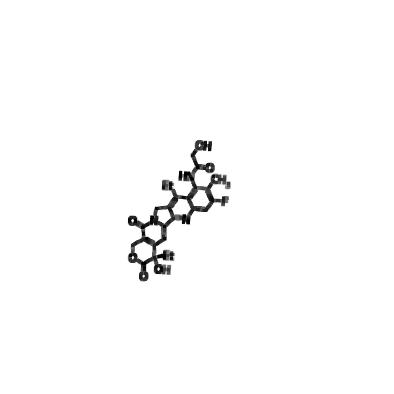 CCc1c2c(nc3cc(F)c(C)c(NC(=O)CO)c13)-c1cc3c(c(=O)n1C2)COC(=O)[C@]3(O)CC